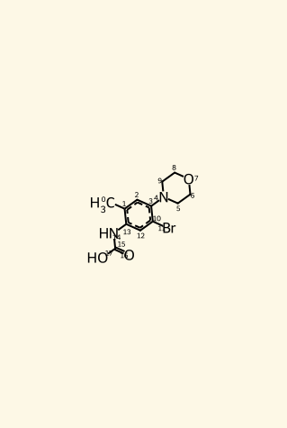 Cc1cc(N2CCOCC2)c(Br)cc1NC(=O)O